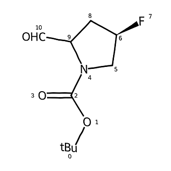 CC(C)(C)OC(=O)N1C[C@H](F)CC1C=O